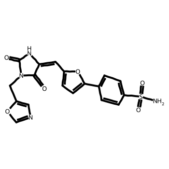 NS(=O)(=O)c1ccc(-c2ccc(/C=C3/NC(=O)N(Cc4cnco4)C3=O)o2)cc1